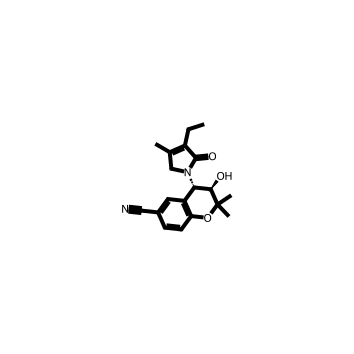 CCC1=C(C)CN([C@H]2c3cc(C#N)ccc3OC(C)(C)[C@@H]2O)C1=O